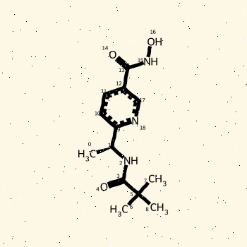 C[C@H](NC(=O)C(C)(C)C)c1ccc(C(=O)NO)cn1